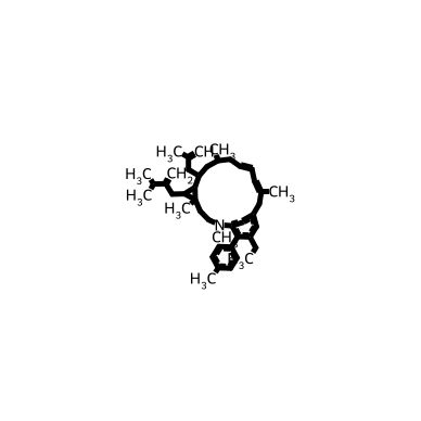 C=C(C)CC1CC(C)C/C=C/C=C(\C)Cc2cc(CC)c(-c3ccc(C)cc3)c(c2)N(C)CCC2(C)C(CC(=C)C(C)C)C12